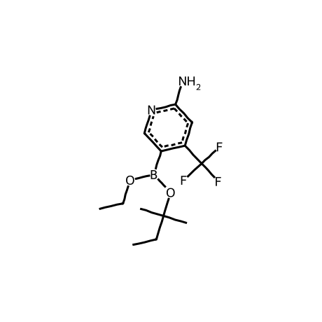 CCOB(OC(C)(C)CC)c1cnc(N)cc1C(F)(F)F